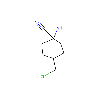 N#CC1(N)CCC(CCl)CC1